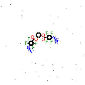 [N-]=[N+]=Nc1c(F)c(F)c(C(=O)OC2CCCC(OC(=O)c3c(F)c(F)c(N=[N+]=[N-])c(F)c3F)C2)c(F)c1F